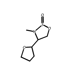 CN1C(C2CCCO2)COS1=O